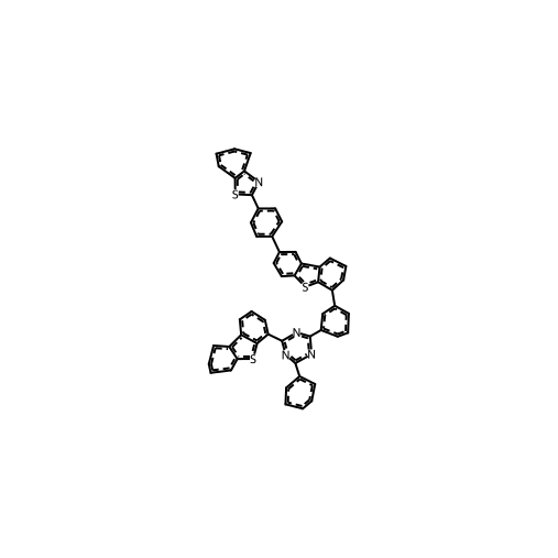 c1ccc(-c2nc(-c3cccc(-c4cccc5c4sc4ccc(-c6ccc(-c7nc8ccccc8s7)cc6)cc45)c3)nc(-c3cccc4c3sc3ccccc34)n2)cc1